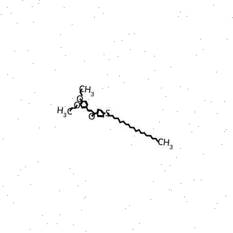 CCCCCCCCCCCCCCCCCCCCSc1ccc(C(=O)C=Cc2ccc(OCCC)c(OCCC)c2)cc1